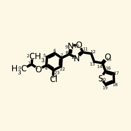 CC(C)Oc1ccc(-c2noc(CCC(=O)c3cccs3)n2)cc1Cl